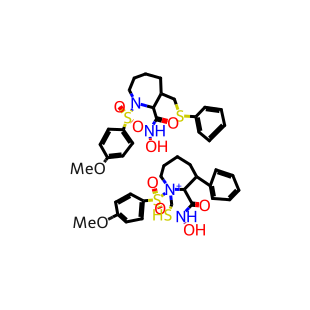 COc1ccc(S(=O)(=O)N2CCCCC(CSc3ccccc3)C2C(=O)NO)cc1.COc1ccc(S(=O)(=O)[N+]2(CS)CCCCC(c3ccccc3)C2C(=O)NO)cc1